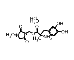 CN1CC(=O)N(COC(=O)[C@@](C)(N)Cc2ccc(O)c(O)c2)C1=O.Cl.O